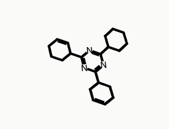 C1=CC(c2nc(C3CC=CCC3)nc(C3CCCCC3)n2)CCC1